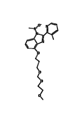 COCCOCOCCCOc1cccc2c1nc(-c1ncccc1C)n2[S+](C)[O-]